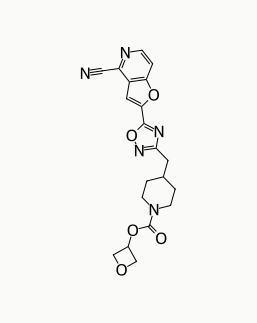 N#Cc1nccc2oc(-c3nc(CC4CCN(C(=O)OC5COC5)CC4)no3)cc12